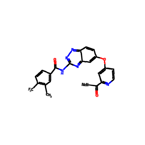 CNC(=O)c1cc(Oc2ccc3nnc(NC(=O)c4ccc(C(F)(F)F)c(C)c4)nc3c2)ccn1